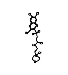 CC(C)c1nc2cc(Cl)c(Cl)cc2nc1S(=O)(=O)CCC(=O)NCC[N+]1([O-])CCOCC1